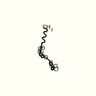 CC/C=C\C/C=C\C/C=C\C/C=C\C/C=C\C/C=C\CCC(=O)OCOC1=Nc2cc(OCCCCN3CCN(c4cccc(Cl)c4Cl)CC3)ccc2CC1